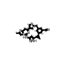 Cc1cn2c(Nc3cc(C4CC4)[nH]n3)nc(-c3cnn(Cc4cccc(C#N)c4)c3)cc2n1